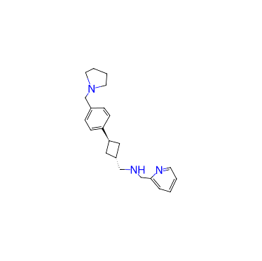 c1ccc(CNC[C@H]2C[C@H](c3ccc(CN4CCCC4)cc3)C2)nc1